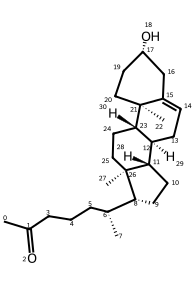 CC(=O)CCC[C@@H](C)[C@H]1CC[C@H]2[C@@H]3CC=C4C[C@@H](O)CC[C@]4(C)[C@H]3CC[C@]12C